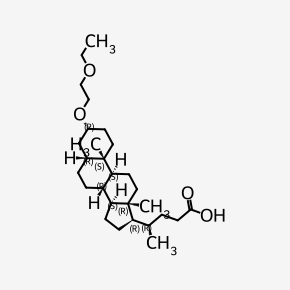 CCOCCO[C@@H]1CC[C@@]2(C)[C@H](CC[C@@H]3[C@@H]2CC[C@]2(C)[C@@H]([C@H](C)CCC(=O)O)CC[C@@H]32)C1